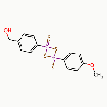 COc1ccc(P2(=S)SP(=S)(c3ccc(CO)cc3)S2)cc1